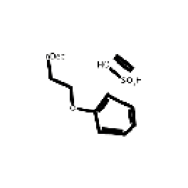 C=C.CCCCCCCCCCCCOc1ccccc1.O=S(=O)(O)O